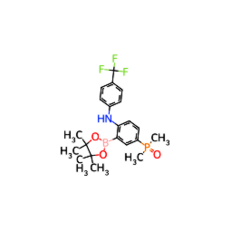 CC1(C)OB(c2cc(P(C)(C)=O)ccc2Nc2ccc(C(F)(F)F)cc2)OC1(C)C